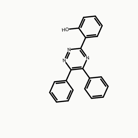 Oc1ccccc1-c1nnc(-c2ccccc2)c(-c2ccccc2)n1